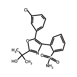 CC(C)(O)c1nc(-c2ccccc2S(N)(=O)=O)c(-c2cccc(Cl)c2)o1